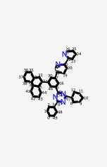 c1ccc(-c2nc(-c3ccccc3)nc(-c3cc(-c4ccc(-c5ccccn5)nc4)cc(-c4cc5ccccc5c5ccccc45)c3)n2)cc1